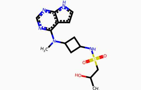 CC(O)CS(=O)(=O)NC1CC(N(C)c2ncnc3[nH]ccc23)C1